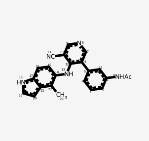 CC(=O)Nc1cccc(-c2cncc(C#N)c2Nc2ccc3[nH]ccc3c2C)c1